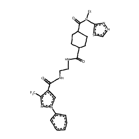 CCN(C(=O)C1CCC(C(=O)NCCNC(=O)c2cn(-c3ccccc3)nc2C(F)(F)F)CC1)c1nncs1